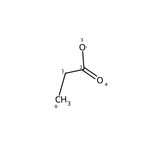 C[CH]C([O])=O